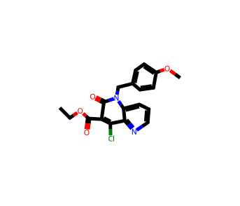 CCOC(=O)c1c(Cl)c2ncccc2n(Cc2ccc(OC)cc2)c1=O